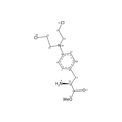 COC(=O)[C@@H](N)Cc1ccc(N(CCCl)CCCl)cc1